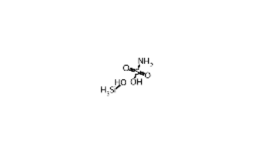 NS(=O)(=O)O.O[SiH3]